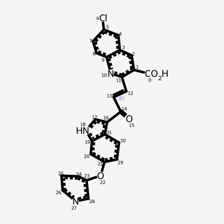 O=C(O)c1cc2cc(Cl)ccc2nc1/C=C/C(=O)c1c[nH]c2cc(Oc3cccnc3)ccc12